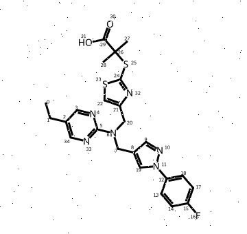 CCc1cnc(N(Cc2cnn(-c3ccc(F)cc3)c2)Cc2csc(SC(C)(C)C(=O)O)n2)nc1